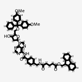 COc1ccc(C(OCC2OC(n3cnc4c(NC(=O)c5ccc(CNC(=O)CCCC(=O)OCC6c7ccccc7-c7ccccc76)cc5)ncnc43)CC2O)(c2ccccc2)c2ccc(OC)cc2)cc1